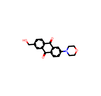 O=C1c2ccc(N3CCOCC3)cc2C(=O)c2ccc(CO)cc21